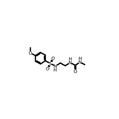 CNC(=O)NCCNS(=O)(=O)c1ccc(OC)cc1